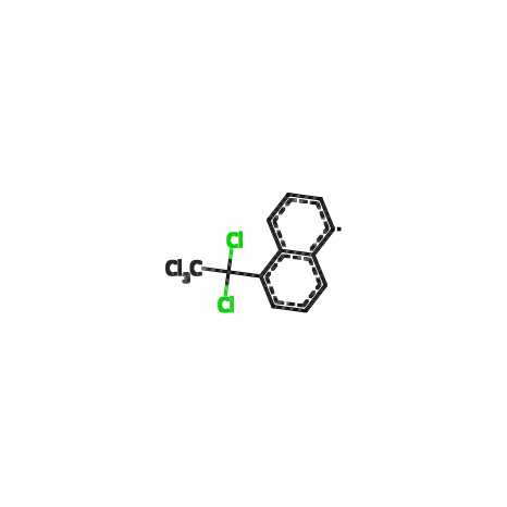 ClC(Cl)(Cl)C(Cl)(Cl)c1cccc2[c]cccc12